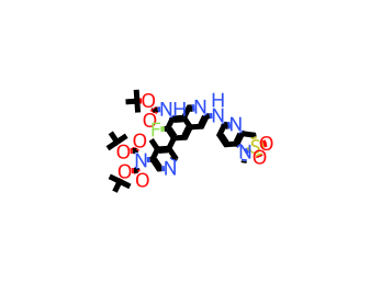 Cc1c(-c2cc3cc(Nc4ccc5c(n4)CS(=O)(=O)N5C)ncc3c(NC(=O)OC(C)(C)C)c2F)cncc1N(C(=O)OC(C)(C)C)C(=O)OC(C)(C)C